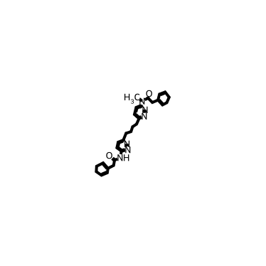 CN(C(=O)CC1=CCCC=C1)c1ccc(CCCCc2ccc(NC(=O)CC3=CCCC=C3)nn2)nn1